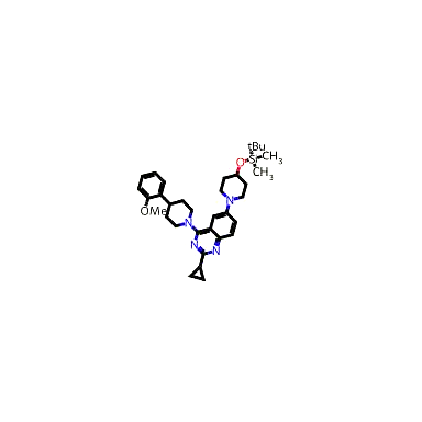 COc1ccccc1C1CCN(c2nc(C3CC3)nc3ccc(N4CCC(O[Si](C)(C)C(C)(C)C)CC4)cc23)CC1